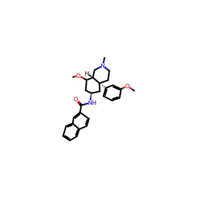 COc1cccc([C@@]23CCN(C)C[C@H]2C(OC)C[C@H](NC(=O)c2ccc4ccccc4c2)C3)c1